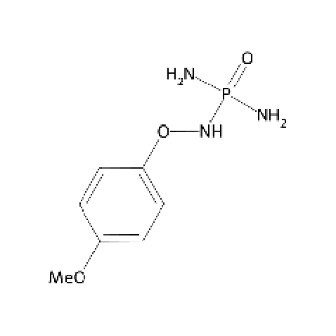 COc1ccc(ONP(N)(N)=O)cc1